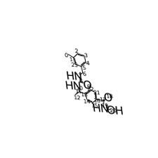 Cc1cccc(CNC(=O)NC(C)c2ccc(C(=O)NO)cc2)c1